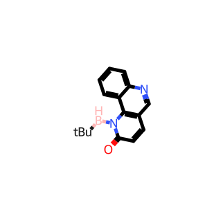 CC(C)(C)Bn1c(=O)ccc2cnc3ccccc3c21